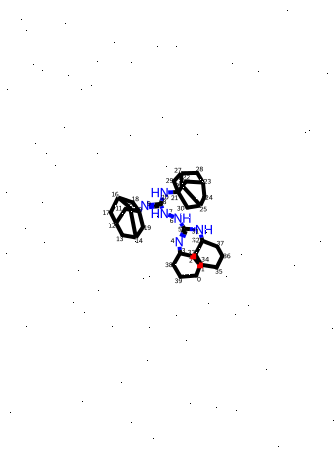 C1CCC(N=C(NNC(=NC23CC4CC(CC(C4)C2)C3)NC23CC4CC(CC(C4)C2)C3)NC2CCCCC2)CC1